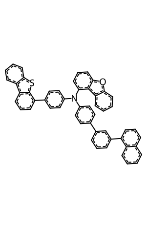 c1cc(-c2ccc(N(c3ccc(-c4cccc5c4sc4ccccc45)cc3)c3cccc4oc5ccccc5c34)cc2)cc(-c2cccc3ccccc23)c1